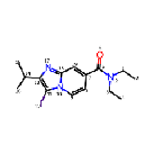 CCN(CC)C(=O)c1ccn2c(I)c(C(C)C)nc2c1